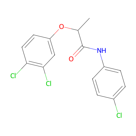 CC(Oc1ccc(Cl)c(Cl)c1)C(=O)Nc1ccc(Cl)cc1